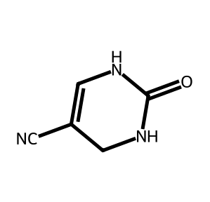 N#CC1=CNC(=O)NC1